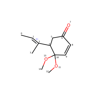 C/C=C(\C)C1CC(=O)C=CC1(OC)OC